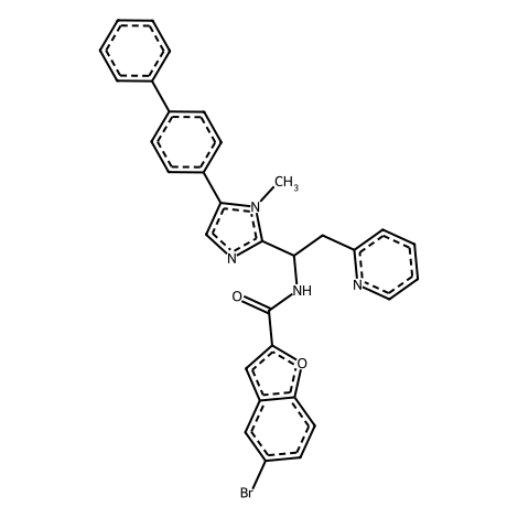 Cn1c(-c2ccc(-c3ccccc3)cc2)cnc1C(Cc1ccccn1)NC(=O)c1cc2cc(Br)ccc2o1